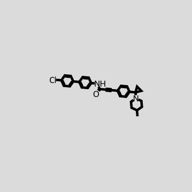 CC1CCN(C2(c3ccc(C#CC(=O)Nc4ccc(-c5ccc(Cl)cc5)cc4)cc3)CC2)CC1